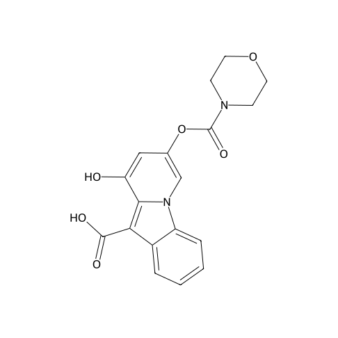 O=C(O)c1c2ccccc2n2cc(OC(=O)N3CCOCC3)cc(O)c12